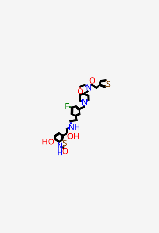 O=C(Cc1ccsc1)N1CCOC2(CCN(Cc3cc(F)cc(CCNCC(O)c4ccc(O)c5[nH]c(=O)sc45)c3)CC2)C1